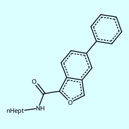 CCCCCCCNC(=O)c1occ2cc(-c3ccccc3)ccc12